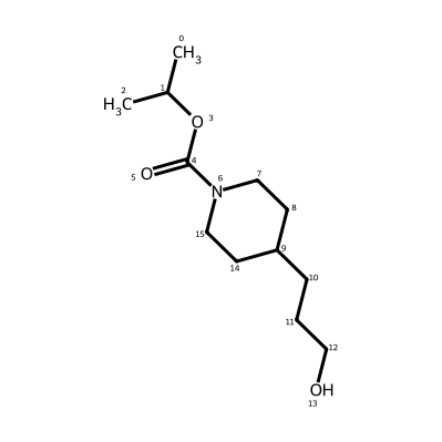 CC(C)OC(=O)N1CCC(CCCO)CC1